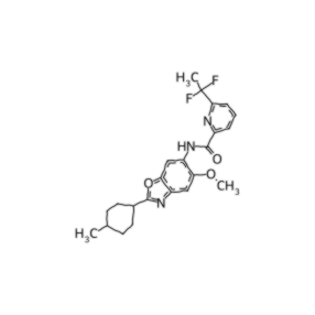 COc1cc2nc(C3CCC(C)CC3)oc2cc1NC(=O)c1cccc(C(C)(F)F)n1